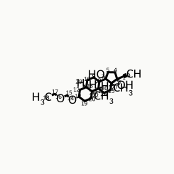 C#CC1(O)CC[C@]2(O)[C@@H]3CC[C@@H]4C[C@@H](OCOCC)CC[C@]4(C)[C@H]3CC[C@]12C